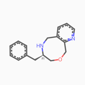 c1ccc(C[C@@H]2COCc3ncccc3CN2)cc1